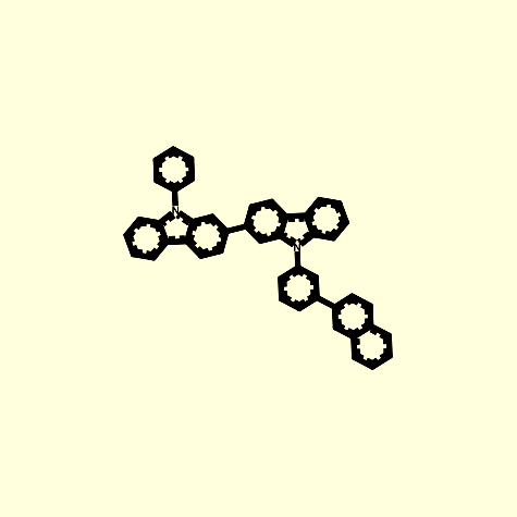 c1ccc(-n2c3ccccc3c3ccc(-c4ccc5c6ccccc6n(-c6cccc(-c7ccc8ccccc8c7)c6)c5c4)cc32)cc1